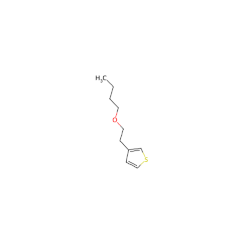 CCCCOCCc1ccsc1